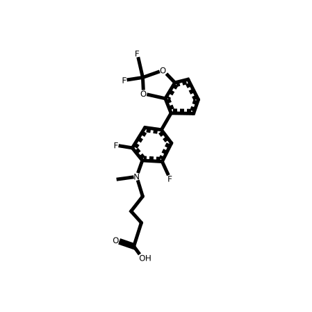 CN(CCCC(=O)O)c1c(F)cc(-c2cccc3c2OC(F)(F)O3)cc1F